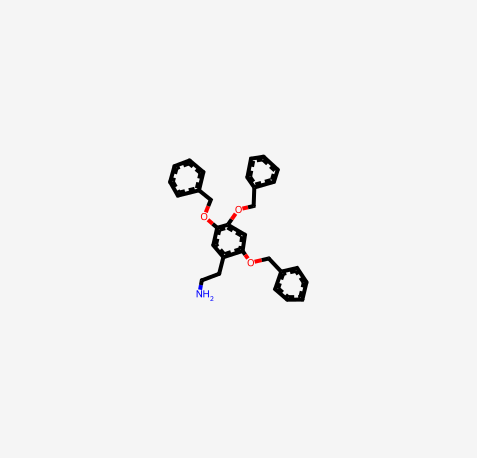 NCCc1cc(OCc2ccccc2)c(OCc2ccccc2)cc1OCc1ccccc1